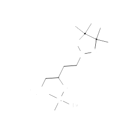 CC1(C)OB(CCC(CC(=O)O)O[Si](C)(C)C(C)(C)C)OC1(C)C